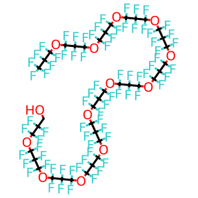 OCC(F)(F)C(F)(F)OC(F)(F)C(F)(F)C(F)(F)OC(F)(F)C(F)(F)C(F)(F)OC(F)(F)C(F)(F)C(F)(F)OC(F)(F)C(F)(F)C(F)(F)OC(F)(F)C(F)(F)C(F)(F)OC(F)(F)C(F)(F)C(F)(F)OC(F)(F)C(F)(F)C(F)(F)OC(F)(F)C(F)(F)C(F)(F)OC(F)(F)C(F)(F)C(F)(F)OC(F)(F)C(F)(F)C(F)(F)OC(F)(F)C(F)(F)C(F)(F)OC(F)(F)C(F)(F)C(F)(F)F